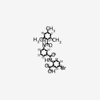 Cc1cc(C)c(C(=O)Nc2cccc(C(=O)Nc3ccc(Br)cc3C(=O)O)c2)c(C)c1